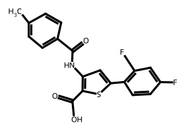 Cc1ccc(C(=O)Nc2cc(-c3ccc(F)cc3F)sc2C(=O)O)cc1